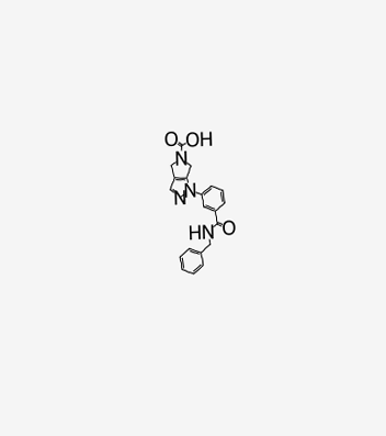 O=C(NCc1ccccc1)c1cccc(-n2ncc3c2CN(C(=O)O)C3)c1